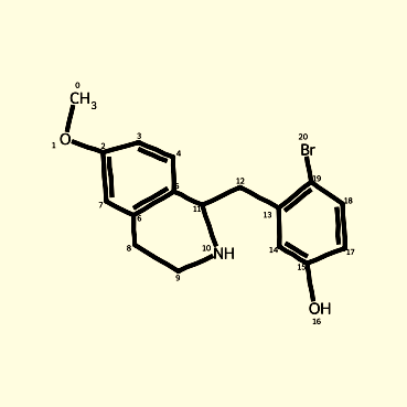 COc1ccc2c(c1)CCNC2Cc1cc(O)ccc1Br